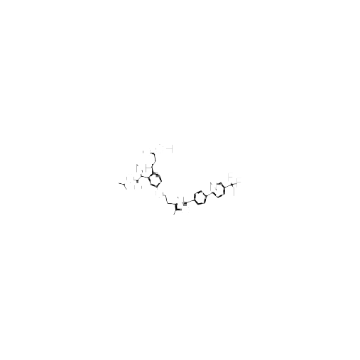 Cc1oc(-c2ccc(-c3ccc(C(F)(F)F)cn3)cc2)nc1CCOc1ccc(CCC(=O)O)c(C(N)C(=O)OC(C)C)c1